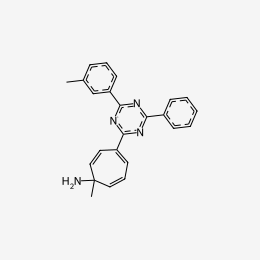 Cc1cccc(-c2nc(C3=CC=CC(C)(N)C=C3)nc(-c3ccccc3)n2)c1